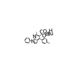 Cc1ccc(-c2c(C(OC(C)(C)C)C(=O)O)c(C)nc3c2ccn3-c2ccccc2)cc1